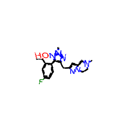 C[C@@H](O)c1cc(F)ccc1-c1nn(C)nc1Cc1cc2n(n1)CCN(C)C2